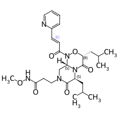 CONC(=O)CCN1C[C@@H]2N(C(=O)/C=C/c3ccccn3)O[C@H](CC(C)C)C(=O)N2[C@@H](CC(C)C)C1=O